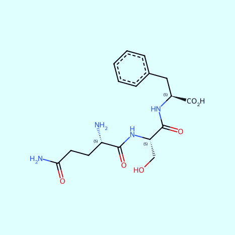 NC(=O)CC[C@H](N)C(=O)N[C@@H](CO)C(=O)N[C@@H](Cc1ccccc1)C(=O)O